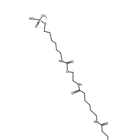 CP(=O)(O)OCCCCCCNC(=O)OCCNC(=O)CCCCCNC(=O)CCS